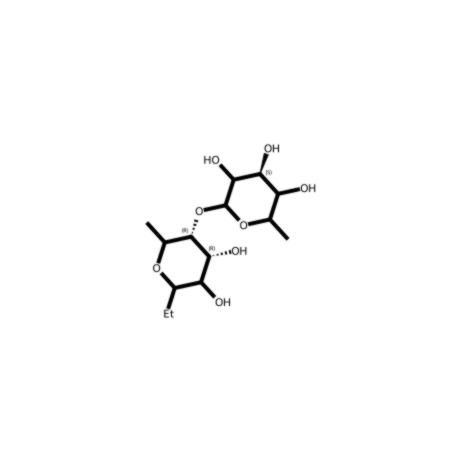 CCC1OC(C)[C@H](OC2OC(C)C(O)[C@H](O)C2O)[C@H](O)C1O